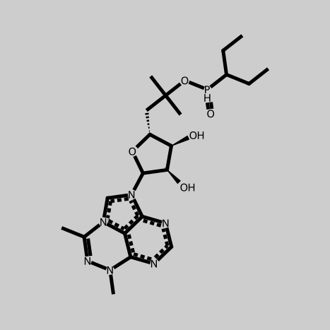 CCC(CC)[PH](=O)OC(C)(C)C[C@H]1OC(n2c[n+]3c4c(ncnc42)N(C)N=C3C)[C@H](O)[C@@H]1O